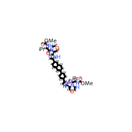 COC(=O)N[C@H](C(=O)N1CCOC[C@H]1c1ncc(-c2ccc(-c3ccc4cc(-c5cnc([C@@H]6COCCN6C(=O)[C@@H](NC(=O)OC)C(C)C)[nH]5)ccc4c3)cc2)[nH]1)C(C)C